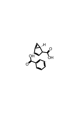 O=C(O)C1C=[C]C2=C[C@H]21.O=C(O)c1c[c]ccc1